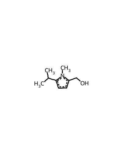 CC(C)c1ccc(CO)n1C